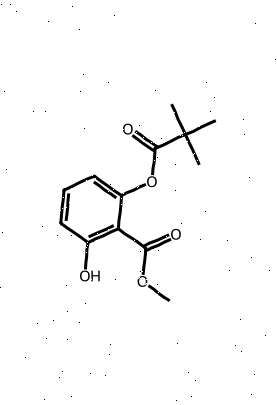 COC(=O)c1c(O)cccc1OC(=O)C(C)(C)C